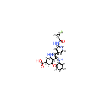 O=C1CC(C(=O)O)Cc2[nH]c(-c3ccnc(NC(=O)[C@H]4C[C@H]4F)c3)c(Nc3ccccc3)c21